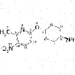 Cc1nc(O[C@H]2CC[C@H](C(C)C)CC2)ccc1[N+](=O)[O-]